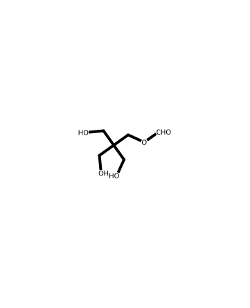 O=COCC(CO)(CO)CO